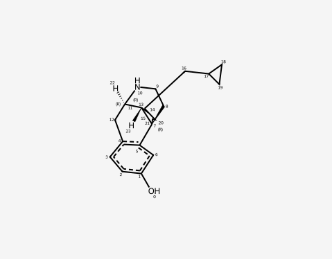 Oc1ccc2c(c1)[C@]13CCN[C@H](C2)[C@@H]1CC(CC1CC1)CC3